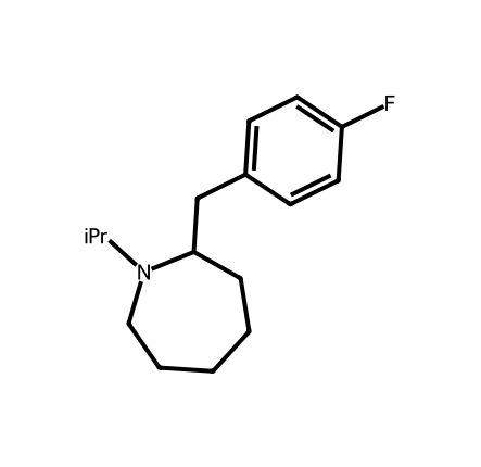 CC(C)N1CCCCCC1Cc1ccc(F)cc1